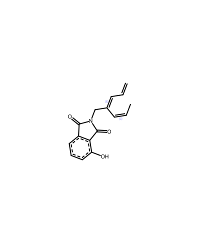 C=C/C=C(\C=C/C)CN1C(=O)c2cccc(O)c2C1=O